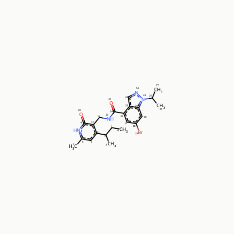 CCC(C)c1cc(C)[nH]c(=O)c1CNC(=O)c1cc(Br)cc2c1cnn2C(C)C